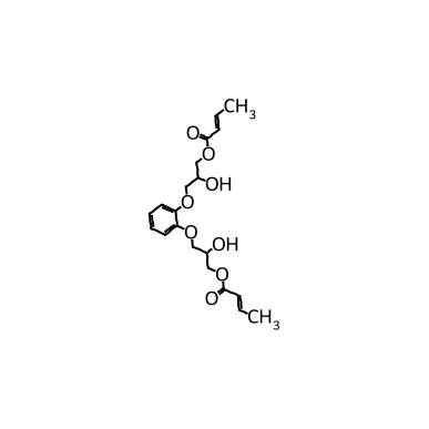 CC=CC(=O)OCC(O)COc1ccccc1OCC(O)COC(=O)C=CC